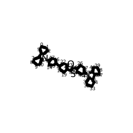 c1ccc2c(c1)c1ccccc1n2-c1ccc(-c2ccc3c(c2)oc2c4ccc(-n5c6ccccc6c6ccccc65)cc4sc32)cc1